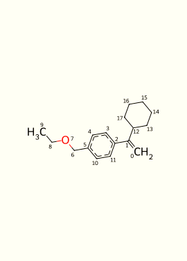 C=C(c1ccc(COCC)cc1)C1CCCCC1